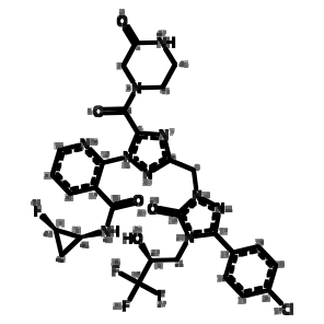 O=C1CN(C(=O)c2nc(Cn3nc(-c4ccc(Cl)cc4)n(C[C@H](O)C(F)(F)F)c3=O)nn2-c2ncccc2C(=O)N[C@H]2C[C@H]2F)CCN1